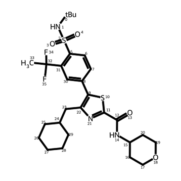 CC(C)(C)NS(=O)(=O)c1ccc(-c2sc(C(=O)NC3CCOCC3)nc2CC2CCCCC2)cc1C(C)(F)F